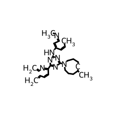 C=C/C=C\C(=N/C=C)c1nc(NC(/C=C\C)=C/C=N\C)nc(N2CCCCC(C)CCC2)n1